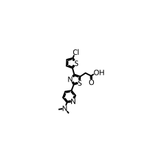 CN(C)c1ccc(-c2nc(-c3ccc(Cl)s3)c(CC(=O)O)s2)cn1